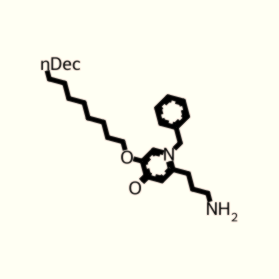 CCCCCCCCCCCCCCCCCCOc1cn(Cc2ccccc2)c(CCCN)cc1=O